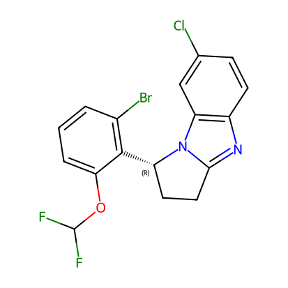 FC(F)Oc1cccc(Br)c1[C@H]1CCc2nc3ccc(Cl)cc3n21